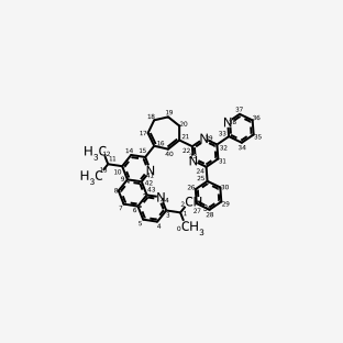 CC(C)c1ccc2ccc3c(C(C)C)cc(C4=CCCCC(c5nc(-c6ccccc6)cc(-c6ccccn6)n5)=C4)nc3c2n1